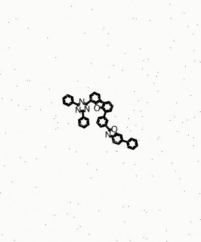 c1ccc(-c2ccc3nc(-c4cccc(-c5cccc6c5oc5c(-c7nc(-c8ccccc8)nc(-c8ccccc8)n7)cccc56)c4)oc3c2)cc1